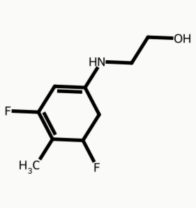 CC1=C(F)C=C(NCCO)CC1F